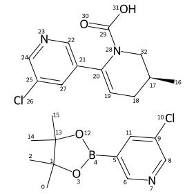 CC1(C)OB(c2cncc(Cl)c2)OC1(C)C.C[C@H]1CC=C(c2cncc(Cl)c2)N(C(=O)O)C1